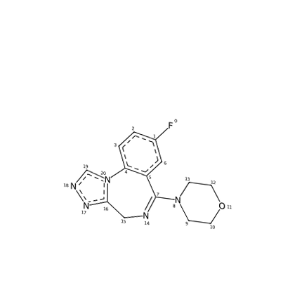 Fc1ccc2c(c1)C(N1CCOCC1)=NCc1nncn1-2